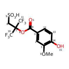 COc1cc(C(=O)OC(CS(=O)(=O)O)(C(F)(F)F)C(F)(F)F)ccc1O